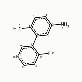 Cc1ccc(N)cc1-c1cnccc1F